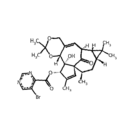 CC1=C[C@]23C(=O)[C@@H](C=C4COC(C)(C)O[C@H]4[C@]2(O)[C@H]1OC(=O)c1ncncc1Br)[C@H]1[C@@H](C[C@H]3C)C1(C)C